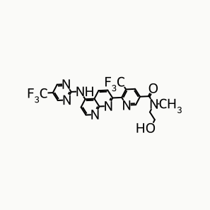 CN(CCO)C(=O)c1cnc(-c2ccc3c(Nc4ncc(C(F)(F)F)cn4)ccnc3n2)c(C(F)(F)F)c1